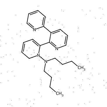 CCCCN(CCCC)N1CC=CC=C1c1ncccc1-c1ccccn1